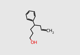 C=CCC(CCCO)c1ccccc1